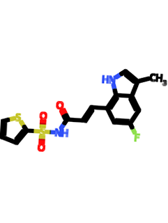 Cc1c[nH]c2c(/C=C/C(=O)NS(=O)(=O)c3cccs3)cc(F)cc12